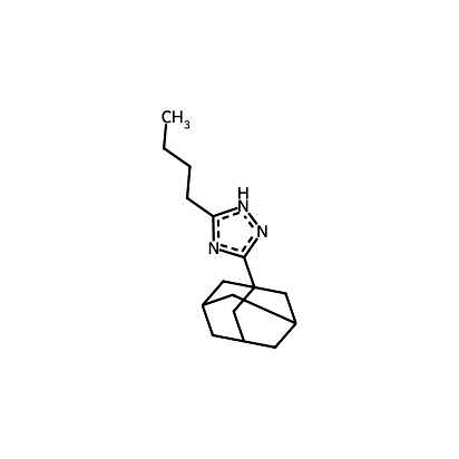 CCCCc1nc(C23CC4CC(CC(C4)C2)C3)n[nH]1